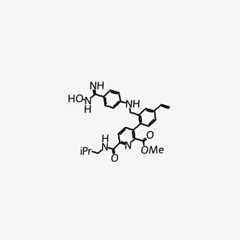 C=Cc1ccc(-c2ccc(C(=O)NCC(C)C)nc2C(=O)OC)c(CNc2ccc(C(=N)NO)cc2)c1